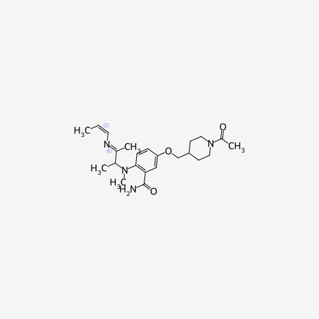 C/C=C\N=C(/C)C(C)N(C)c1ccc(OCC2CCN(C(C)=O)CC2)cc1C(N)=O